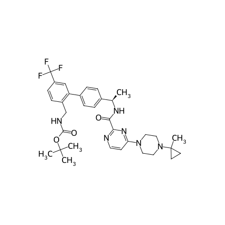 C[C@@H](NC(=O)c1nccc(N2CCN(C3(C)CC3)CC2)n1)c1ccc(-c2cc(C(F)(F)F)ccc2CNC(=O)OC(C)(C)C)cc1